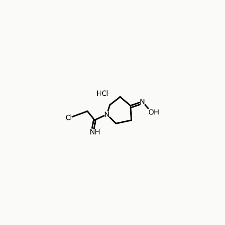 Cl.N=C(CCl)N1CCC(=NO)CC1